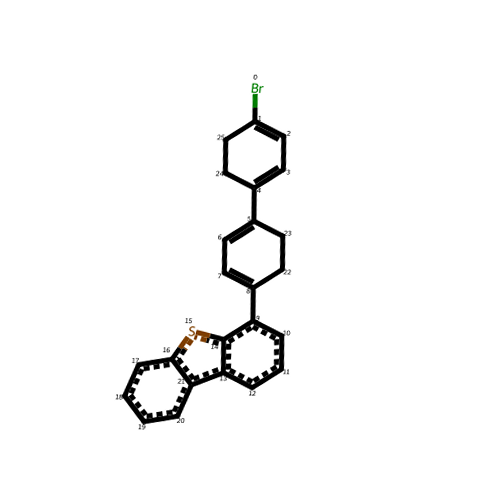 BrC1=CC=C(C2=CC=C(c3cccc4c3sc3ccccc34)CC2)CC1